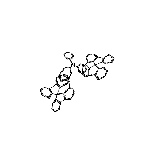 c1ccc(N(c2cccc(-c3cccc4c3C3(c5ccccc5-c5ccccc53)c3ccccc3-4)c2)c2cccc(-c3cccc4c3C3(c5ccccc5-c5ccccc53)c3ccccc3-4)c2)cc1